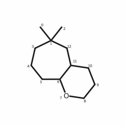 CC1(C)CCCC2OCCCC2C1